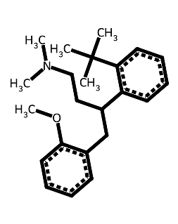 COc1ccccc1CC(CCN(C)C)c1ccccc1C(C)(C)C